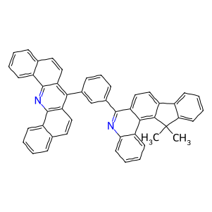 CC1(C)c2ccccc2-c2ccc3c(-c4cccc(-c5c6ccc7ccccc7c6nc6c5ccc5ccccc56)c4)nc4ccccc4c3c21